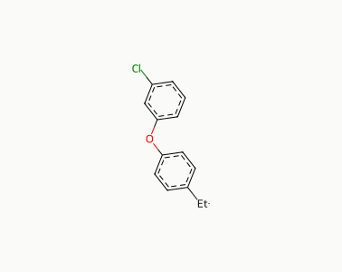 C[CH]c1ccc(Oc2cccc(Cl)c2)cc1